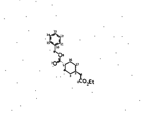 CCOC(=O)C[C@H]1CC[C@H](C(=O)OCc2ccccc2)CC1